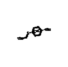 CC(C)(C)CS[C@]12CC[C@](C(C)(C)C)(CC1)CC2